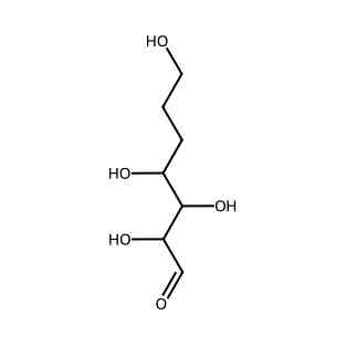 O=CC(O)C(O)C(O)CCCO